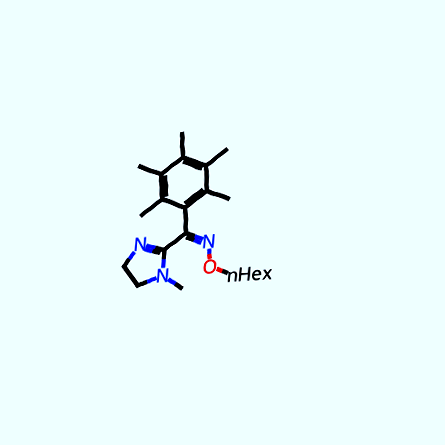 CCCCCCON=C(C1=NCCN1C)c1c(C)c(C)c(C)c(C)c1C